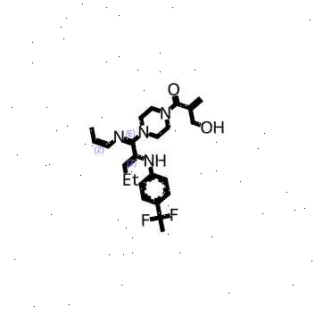 C=C(CO)C(=O)N1CCN(C(=N/C=C\C)/C(=C/CC)Nc2ccc(C(C)(F)F)cc2)CC1